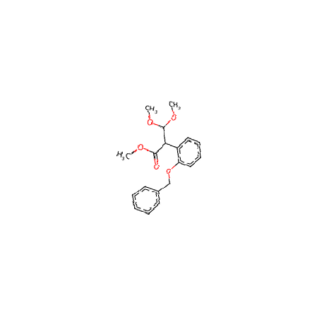 COC(=O)C(c1ccccc1OCc1ccccc1)C(OC)OC